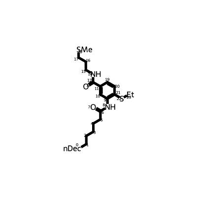 CCCCCCCCCCCCCCCC(=O)Nc1cc(C(=O)NCCCSC)ccc1SCC